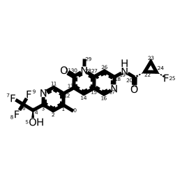 Cc1cc([C@@H](O)C(F)(F)F)ncc1-c1cc2cnc(NC(=O)[C@@H]3C[C@@H]3F)cc2n(C)c1=O